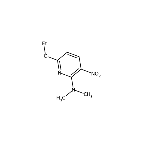 CCOc1ccc([N+](=O)[O-])c(N(C)C)n1